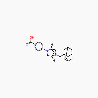 O=C(O)c1ccc(N2C[C@@H]3C[C@H]2CN3CC23CC4CC(CC(C4)C2)C3)cc1